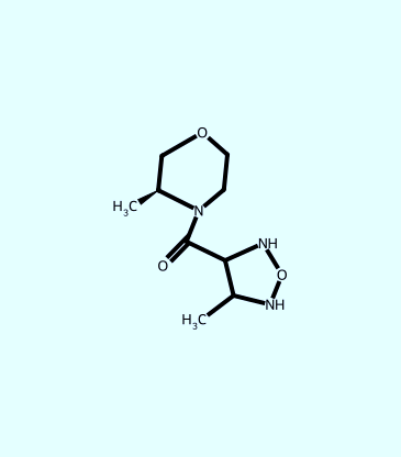 CC1NONC1C(=O)N1CCOC[C@@H]1C